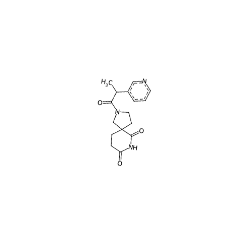 CC(C(=O)N1CCC2(CCC(=O)NC2=O)C1)c1cccnc1